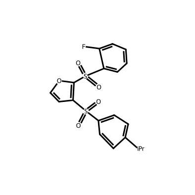 CC(C)c1ccc(S(=O)(=O)c2ccoc2S(=O)(=O)c2ccccc2F)cc1